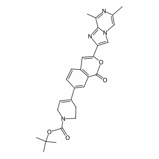 Cc1cn2cc(-c3cc4ccc(C5=CCN(C(=O)OC(C)(C)C)CC5)cc4c(=O)o3)nc2c(C)n1